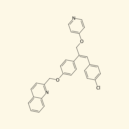 Clc1ccc(/C=C(/COc2ccncc2)c2ccc(OCc3ccc4ccccc4n3)cc2)cc1